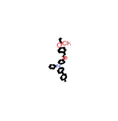 C=CC(O)Oc1ccc(CCOc2ccc(N(c3ccccc3)c3ccc(-c4ccc(C)cc4)cc3)cc2)cc1